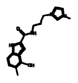 Cc1ccc2[nH]c(C(=O)NCCCn3cc[n+](C)c3)cc2c1O